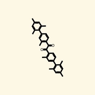 Cc1cc(C)c(-c2ccc(C(=O)C(=O)c3ccc(-c4c(C)cc(C)cc4C)cc3C)c(C)c2)c(C)c1